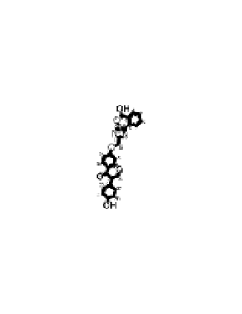 O=C(O)c1ccccc1-c1nc(COc2ccc3c(=O)c(-c4ccc(O)cc4)coc3c2)no1